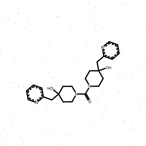 O=C(N1CCC(O)(Cc2ccccn2)CC1)N1CCC(O)(Cc2ccccn2)CC1